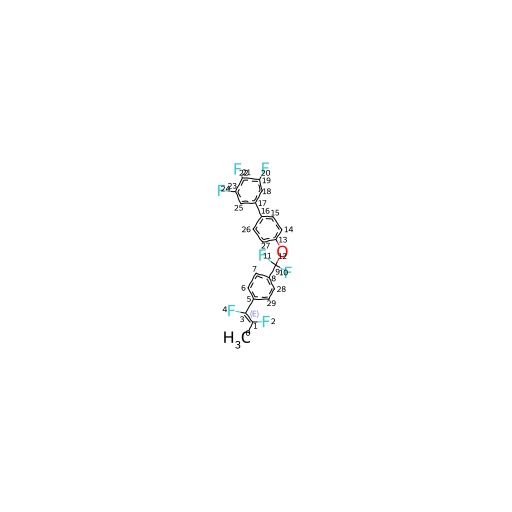 C/C(F)=C(\F)c1ccc(C(F)(F)Oc2ccc(-c3cc(F)c(F)c(F)c3)cc2)cc1